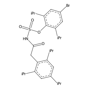 CC(C)c1cc(C(C)C)c(CC(=O)NS(=O)(=O)Oc2c(C(C)C)cc(Br)cc2C(C)C)c(C(C)C)c1